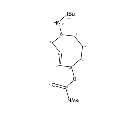 CNC(=O)OC1/C=C/CC(NC(C)(C)C)CCC1